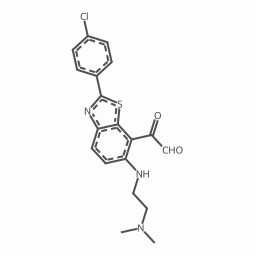 CN(C)CCNc1ccc2nc(-c3ccc(Cl)cc3)sc2c1C(=O)C=O